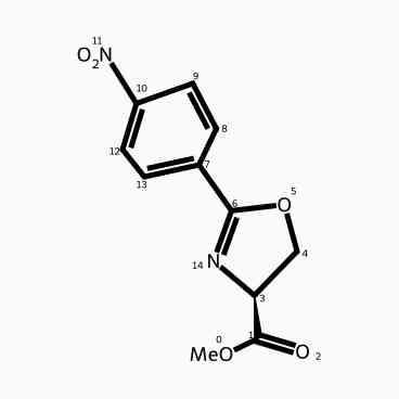 COC(=O)[C@@H]1COC(c2ccc([N+](=O)[O-])cc2)=N1